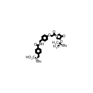 CC(C)(C)N(Cc1ccc(C(=O)NCc2ccc(OCC(=O)N3CC(=O)[C@H](O[Si](C)(C)C(C)(C)C)C3)cc2)cc1)C(=O)O